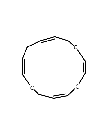 C1=CCCC=CCC=CCCC=CC1